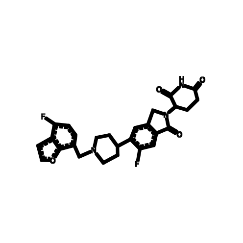 O=C1CCC(N2Cc3cc(C4CCN(Cc5ccc(F)c6ccoc56)CC4)c(F)cc3C2=O)C(=O)N1